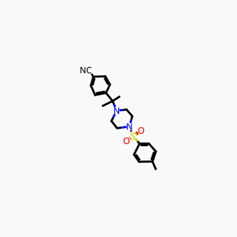 Cc1ccc(S(=O)(=O)N2CCN(C(C)(C)c3ccc(C#N)cc3)CC2)cc1